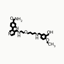 CCOc1ccc(CNCCCCOCCNc2nc3cc(C(N)=O)ccc3c3cnccc23)cc1CO